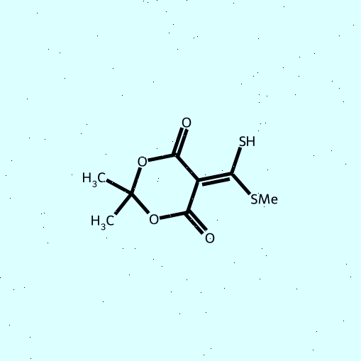 CSC(S)=C1C(=O)OC(C)(C)OC1=O